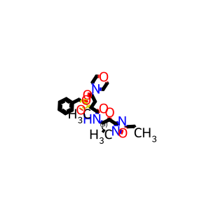 CCc1nc(C(=O)[C@H](CC)NC(=O)C(C)(CC(=O)N2CCOCC2)S(=O)(=O)Cc2ccccc2)no1